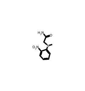 CN(CC(N)=O)c1ccccc1[N+](=O)[O-]